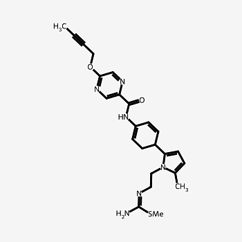 CC#CCOc1cnc(C(=O)NC2=CCC(c3ccc(C)n3CC/N=C(/N)SC)C=C2)cn1